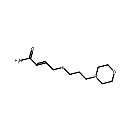 NC(=O)/C=C/CSCCCN1CCOCC1